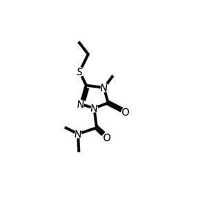 CCSc1nn(C(=O)N(C)C)c(=O)n1C